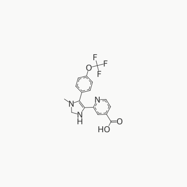 CN1CNC(c2cc(C(=O)O)ccn2)=C1c1ccc(OC(F)(F)F)cc1